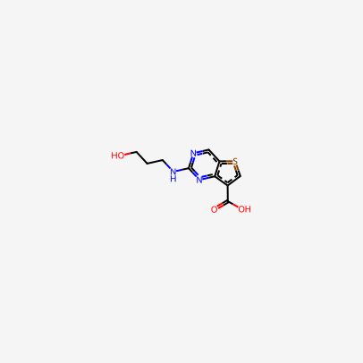 O=C(O)c1csc2cnc(NCCCO)nc12